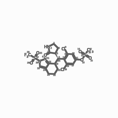 O=C1NCCC1[C@H](c1c(Cl)cc(OS(=O)(=O)C(F)(F)F)cc1Cl)C1CCCc2cn(S(=O)(=O)C(F)(F)F)nc21